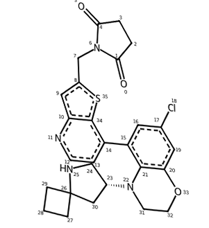 O=C1CCC(=O)N1Cc1cc2nccc(-c3cc(Cl)cc4c3N([C@H]3CNC5(CCC5)C3)CCO4)c2s1